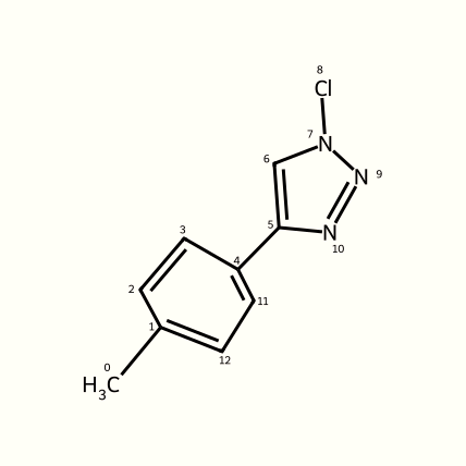 Cc1ccc(-c2cn(Cl)nn2)cc1